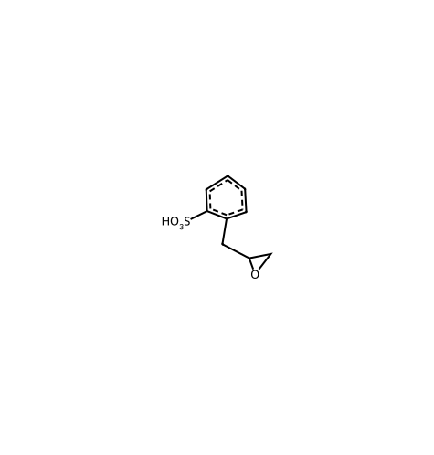 O=S(=O)(O)c1ccccc1CC1CO1